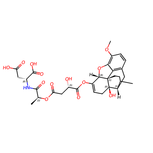 COc1ccc2c3c1O[C@H]1C(OC(=O)[C@@H](O)CC(=O)O[C@@H](C)C(=O)N[C@H](CC(=O)O)C(=O)O)=CC[C@@]4(O)[C@@H](C2)C(C)CC[C@]314